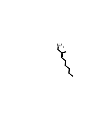 CCCCC/C=C(\C)CN